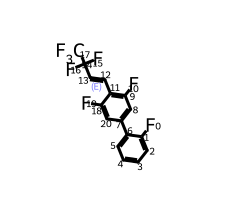 Fc1ccccc1-c1cc(F)c(/C=C/C(F)(F)C(F)(F)F)c(F)c1